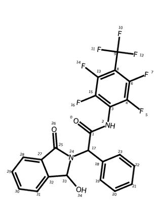 O=C(Nc1c(F)c(F)c(C(F)(F)F)c(F)c1F)C(c1ccccc1)N1C(=O)c2ccccc2C1O